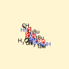 C=CCNC(=O)C(=O)C(CCCC)NC(=O)[C@@H]1[C@@H]2[C@H](CN1C(=O)[C@@H](NC(=O)N[C@H](CN1CCCNC1=O)C(C)(C)C)C(C)(C)C)C2(C)C